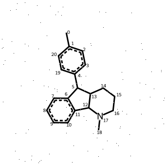 Cc1ccc(C2c3ccccc3C3C2CCCN3C)cc1